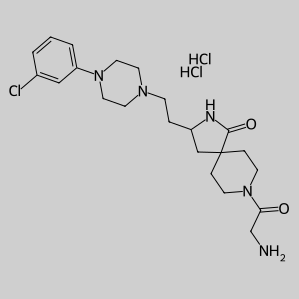 Cl.Cl.NCC(=O)N1CCC2(CC1)CC(CCN1CCN(c3cccc(Cl)c3)CC1)NC2=O